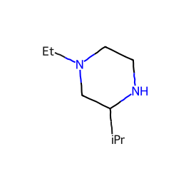 CCN1CCNC(C(C)C)C1